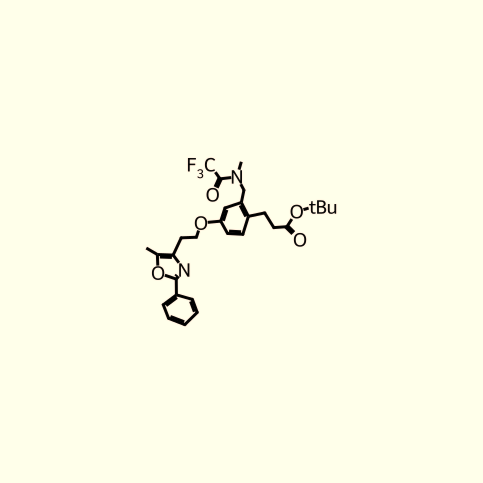 Cc1oc(-c2ccccc2)nc1CCOc1ccc(CCC(=O)OC(C)(C)C)c(CN(C)C(=O)C(F)(F)F)c1